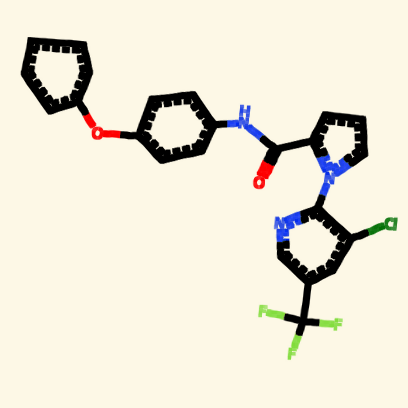 O=C(Nc1ccc(Oc2ccccc2)cc1)c1cccn1-c1ncc(C(F)(F)F)cc1Cl